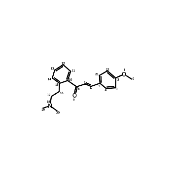 COc1ccc(C=CC(=O)c2ccccc2CCN(C)C)cc1